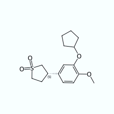 COc1ccc([C@@H]2CCS(=O)(=O)C2)cc1OC1CCCC1